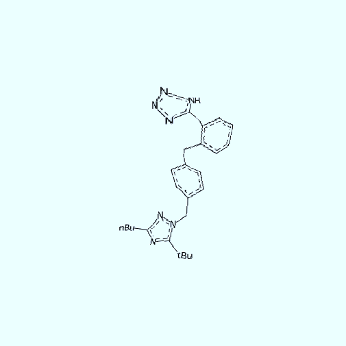 CCCCc1nc(C(C)(C)C)n(Cc2ccc(Cc3ccccc3-c3nnn[nH]3)cc2)n1